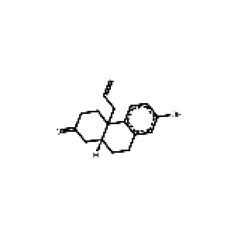 C=CCC12CCC(=O)C[C@H]1CCc1cc(O)ccc12